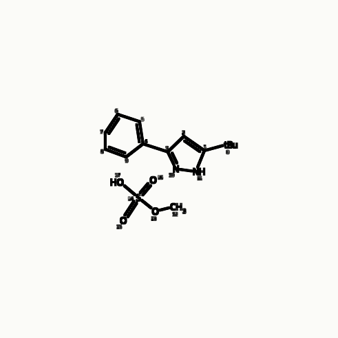 CC(C)(C)c1cc(-c2ccccc2)n[nH]1.COS(=O)(=O)O